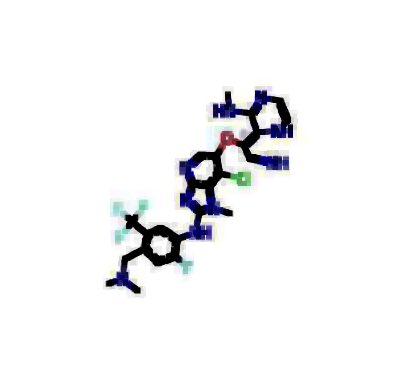 CNC1=NC=CN/C1=C(\C=N)Oc1cnc2nc(Nc3cc(C(F)(F)F)c(CN(C)C)cc3F)n(C)c2c1Cl